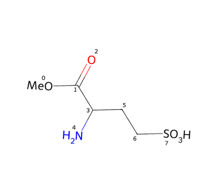 COC(=O)C(N)CCS(=O)(=O)O